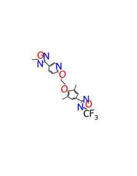 Cc1nc(-c2ccc(OCCOc3c(C)cc(-c4noc(C(F)(F)F)n4)cc3C)nc2)no1